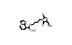 CCCCC=C1SC(=O)N(CCCCOC(=O)c2cccn3ccnc23)C1=O.Cl